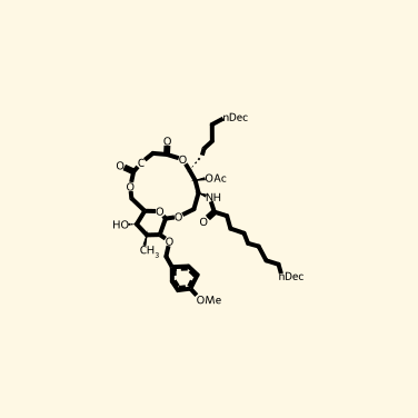 CCCCCCCCCCCCCCCCCC(=O)N[C@H]1COC2OC(COC(=O)CCC(=O)O[C@H](CCCCCCCCCCCCCC)[C@H]1OC(C)=O)[C@@H](O)[C@H](C)C2OCc1ccc(OC)cc1